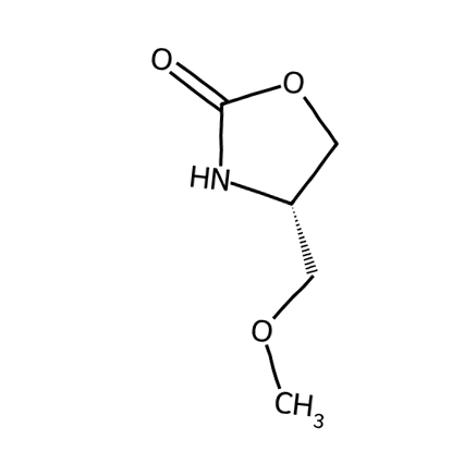 COC[C@H]1COC(=O)N1